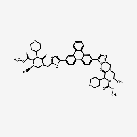 C#CCCN(Cc1ncc(-c2ccc3c4ccc(-c5cnc(CN(CCC)C(=O)[C@@H](NC(=O)OC)C6CCOCC6)[nH]5)cc4c4ccccc4c3c2)[nH]1)C(=O)[C@@H](NC(=O)OC)C1CCOCC1